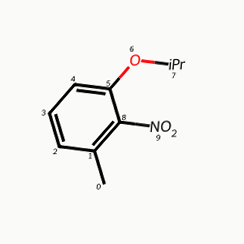 Cc1cccc(OC(C)C)c1[N+](=O)[O-]